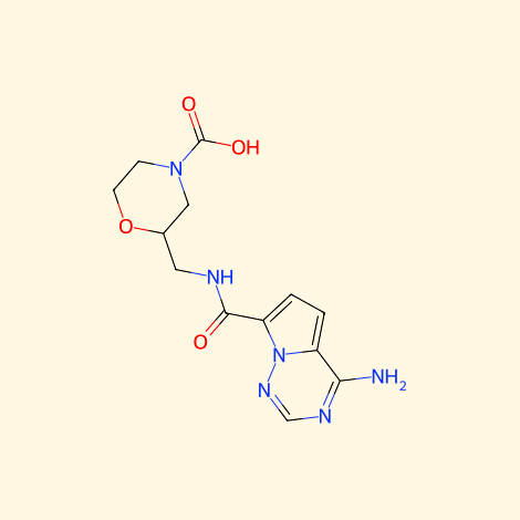 Nc1ncnn2c(C(=O)NCC3CN(C(=O)O)CCO3)ccc12